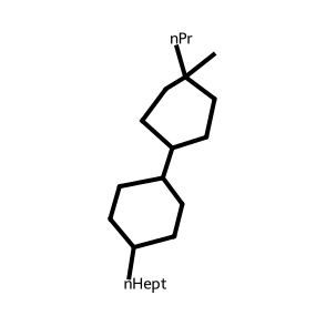 CCCCCCCC1CCC(C2CCC(C)(CCC)CC2)CC1